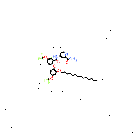 CCCCCCCCCCCCCCOc1cc(OC(F)(F)F)ccc1Oc1ccc(OC(F)(F)F)c(F)c1C(=O)Nc1ccnc(C(N)=O)c1